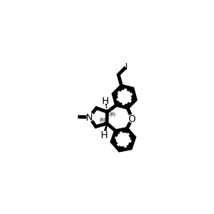 CN1C[C@H]2c3ccccc3Oc3ccc(CI)cc3[C@@H]2C1